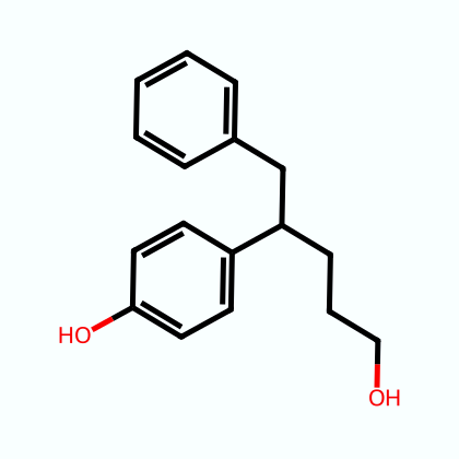 OCCCC(Cc1ccccc1)c1ccc(O)cc1